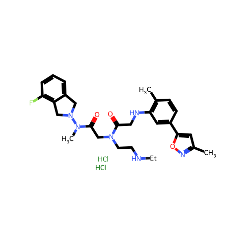 CCNCCN(CC(=O)N(C)N1Cc2cccc(F)c2C1)C(=O)CNc1cc(-c2cc(C)no2)ccc1C.Cl.Cl